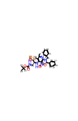 Cc1nc(N(Cc2ccccc2)Cc2ccccc2)c([N+](=O)[O-])c(N[C@@H](CNC(=O)OC(C)(C)C)COP)c1C